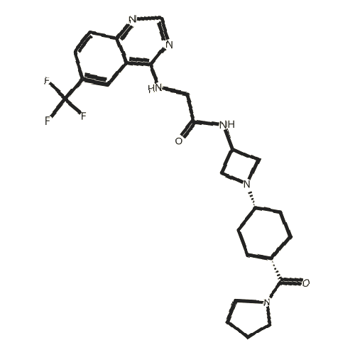 O=C(CNc1ncnc2ccc(C(F)(F)F)cc12)NC1CN([C@H]2CC[C@@H](C(=O)N3CCCC3)CC2)C1